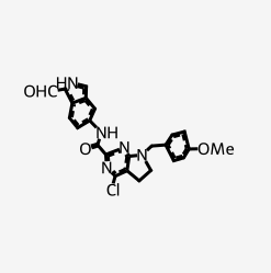 COc1ccc(CN2CCc3c(Cl)nc(C(=O)Nc4ccc5c(C=O)[nH]cc5c4)nc32)cc1